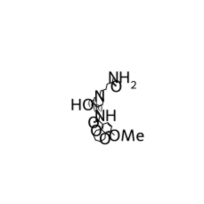 COc1ccc(C(=O)NC[C@H]2CCN(CCCC(N)=O)C[C@H]2O)c2c1OCCCO2